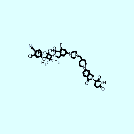 CC1(C)[C@H](Oc2ccc(C#N)c(Cl)c2)C(C)(C)[C@H]1N1Cc2cc(N3CCN(CC4CCN(c5ccc6c(c5)CN(C5CCC(=O)NC5=O)C6=O)CC4)CC3)cc(F)c2C1=O